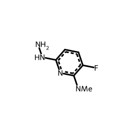 CNc1nc(NN)ccc1F